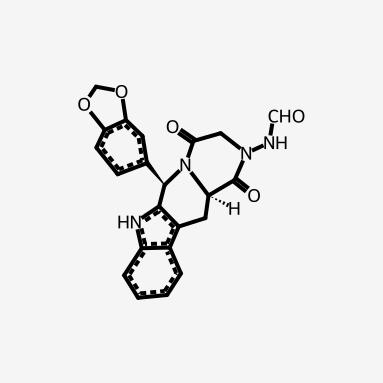 O=CNN1CC(=O)N2[C@H](c3ccc4c(c3)OCO4)c3[nH]c4ccccc4c3C[C@@H]2C1=O